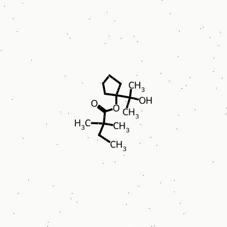 CCC(C)(C)C(=O)OC1(C(C)(C)O)CCCC1